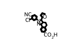 N#Cc1ccc(N2N=C3c4ccc(C(=O)O)cc4CCC3C2c2ccco2)cc1Cl